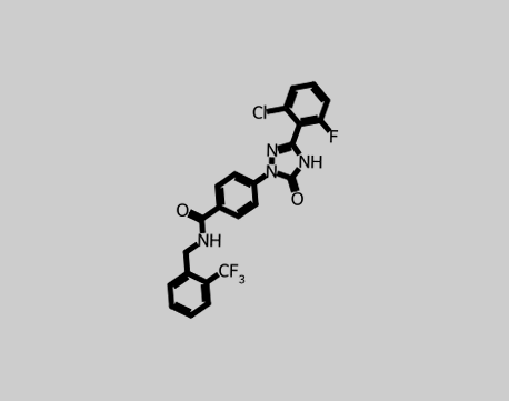 O=C(NCc1ccccc1C(F)(F)F)c1ccc(-n2nc(-c3c(F)cccc3Cl)[nH]c2=O)cc1